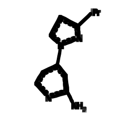 CC(C)c1ccn(-c2ccnc(N)c2)n1